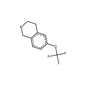 FC(F)(F)Oc1ccc2c(c1)CC[N]C2